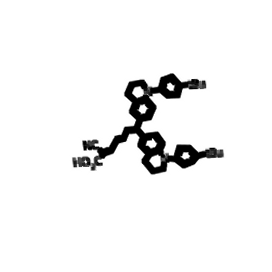 CC(C)(C)c1ccc(N2CCCc3cc(C(=C/C=C/C=C(\C#N)C(=O)O)c4ccc5c(c4)CCCN5c4ccc(C(C)(C)C)cc4)ccc32)cc1